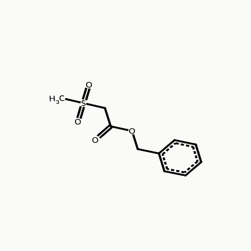 CS(=O)(=O)CC(=O)OCc1ccccc1